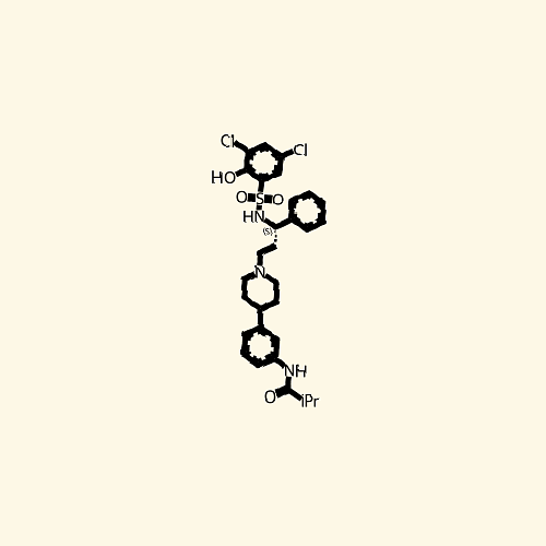 CC(C)C(=O)Nc1cccc(C2CCN(CC[C@H](NS(=O)(=O)c3cc(Cl)cc(Cl)c3O)c3ccccc3)CC2)c1